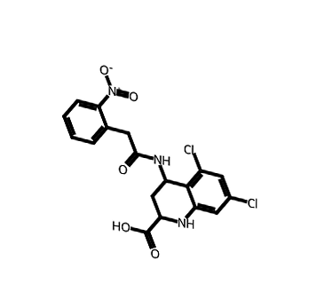 O=C(Cc1ccccc1[N+](=O)[O-])NC1CC(C(=O)O)Nc2cc(Cl)cc(Cl)c21